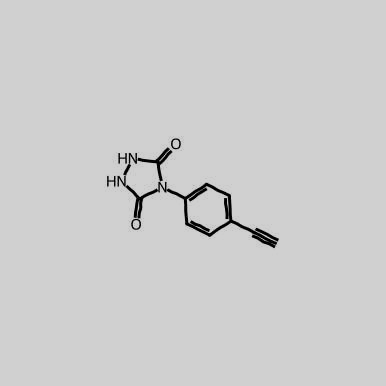 C#Cc1ccc(-n2c(=O)[nH][nH]c2=O)cc1